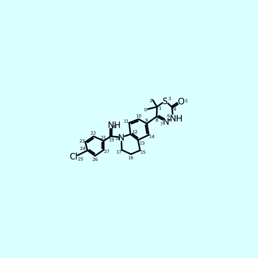 CC1(C)SC(=O)NN=C1c1ccc2c(c1)CCCN2C(=N)c1ccc(Cl)cc1